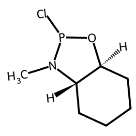 CN1[C@H]2CCCC[C@@H]2OP1Cl